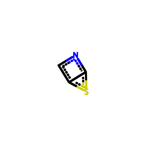 c1nc2sc1-2